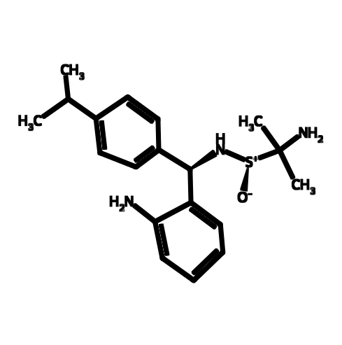 CC(C)c1ccc([C@@H](N[S@+]([O-])C(C)(C)N)c2ccccc2N)cc1